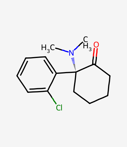 CN(C)[C@@]1(c2ccccc2Cl)CCCCC1=O